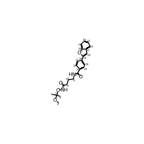 COC(C)(C)ONC(=O)CCCNC(=O)c1ccc(-c2cc3ccccc3o2)cc1